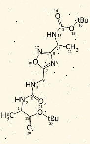 CC(NC(=O)NCc1nc(C(C)NC(=O)OC(C)(C)C)no1)C(=O)OC(C)(C)C